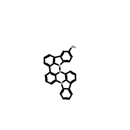 CC(C)(C)c1ccc2c(c1)c1cccc3c1n2B1c2c-3cccc2-n2c3ccccc3c3cccc1c32